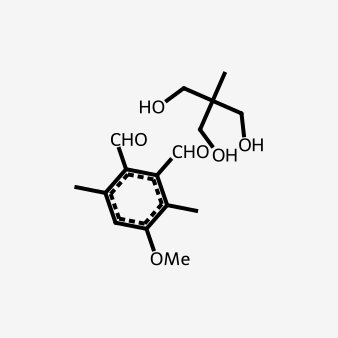 CC(CO)(CO)CO.COc1cc(C)c(C=O)c(C=O)c1C